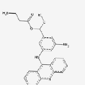 CCOC(OC(=O)CCN)c1cc(N)cc(Nc2c3ccccc3nc3ccccc23)c1